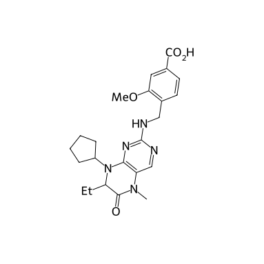 CCC1C(=O)N(C)c2cnc(NCc3ccc(C(=O)O)cc3OC)nc2N1C1CCCC1